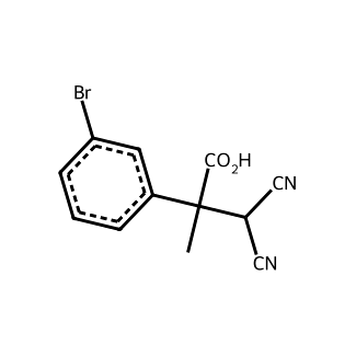 CC(C(=O)O)(c1cccc(Br)c1)C(C#N)C#N